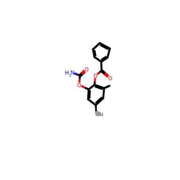 Cc1cc(C(C)(C)C)cc(OC(N)=O)c1OC(=O)c1ccccc1